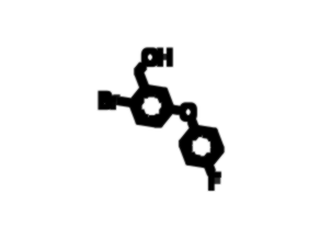 OCc1cc(Oc2ccc(F)cc2)ccc1Br